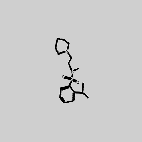 CC(C)c1ccccc1S(=O)(=O)N(C)CCN1CCCCC1